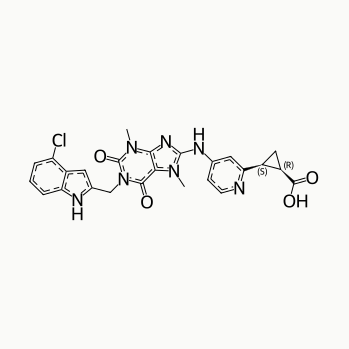 Cn1c(Nc2ccnc([C@H]3C[C@H]3C(=O)O)c2)nc2c1c(=O)n(Cc1cc3c(Cl)cccc3[nH]1)c(=O)n2C